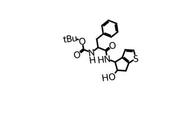 CC(C)(C)OC(=O)NC(Cc1ccccc1)C(=O)NC1c2ccsc2CC1O